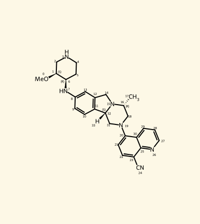 CO[C@H]1CNCC[C@H]1Nc1ccc2c(c1)CN1[C@H](C)CN(c3ccc(C#N)c4ncccc34)C[C@H]21